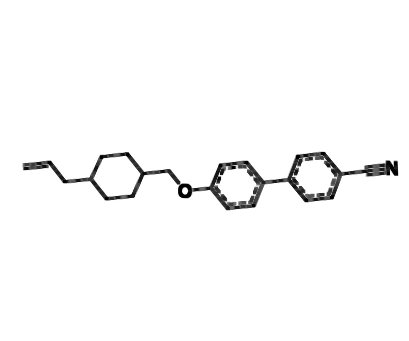 C=CCC1CCC(COc2ccc(-c3ccc(C#N)cc3)cc2)CC1